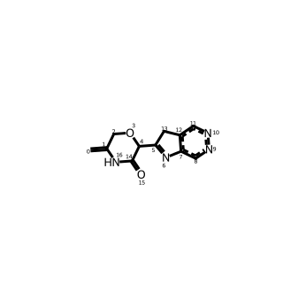 C=C1COC(C2=Nc3cnncc3C2)C(=O)N1